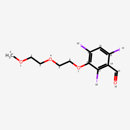 COCCOCCOc1c(I)cc(I)c(C=O)c1I